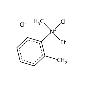 [CH2]c1ccccc1[N+](C)(Cl)CC.[Cl-]